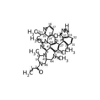 C=CC(=O)N1CC(C)N2c3nc(=O)n(-c4c(C)ccnc4C(C)C)c4c(F)c(-c5c(C)ccc6[nH]ncc56)c(Cl)c(c34)N(C)CC2C1